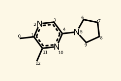 Cc1ncc(N2C[CH]CC2)nc1C